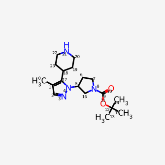 Cc1cnn(C2CCN(C(=O)OC(C)(C)C)C2)c1C1CCNCC1